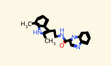 Cc1[nH]c2c(C)cccc2c1CCNC(=O)c1cnc2ccccc2n1